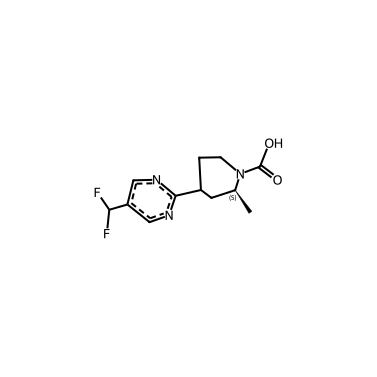 C[C@H]1CC(c2ncc(C(F)F)cn2)CCN1C(=O)O